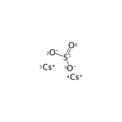 O=S([O-])[O-].[Cs+].[Cs+]